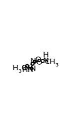 CN[C@H]1CC[C@@H](OC(=O)c2cnc3ccc(-c4nc[nH]c4-c4cccc(C)n4)cc3c2)CC1